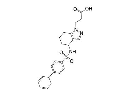 O=C(O)CCn1ncc2c1CCCC2NS(=O)(=O)c1ccc(C2C=CC=CC2)cc1